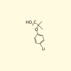 [Li][c]1ccc(OC(C)(C)C(=O)O)cc1